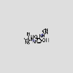 Cc1nsc(/N=N/c2ccc(O)c(/N=N/c3ccnn3C)c2O)c1C#N